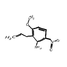 C=CCc1c(OC)ccc([N+](=O)[O-])c1N